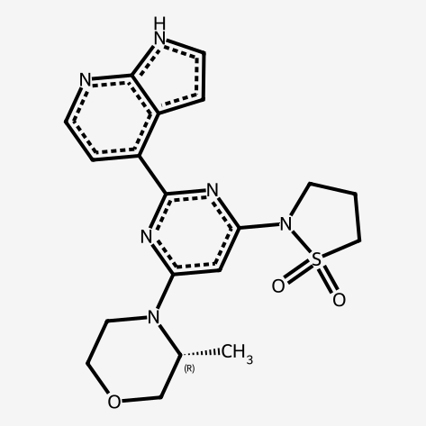 C[C@@H]1COCCN1c1cc(N2CCCS2(=O)=O)nc(-c2ccnc3[nH]ccc23)n1